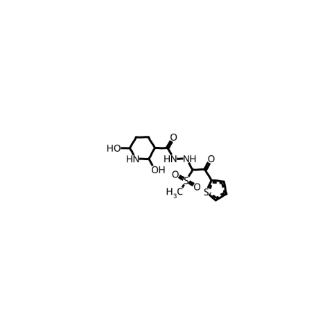 CS(=O)(=O)C(NNC(=O)C1CCC(O)NC1O)C(=O)c1cccs1